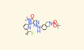 CC(C)n1c(=O)c2cnc(Nc3ccc4c(c3)CCN(C(=O)OC(C)(C)C)C4)nc2n1-c1cccc(C2(CF)CC2)n1